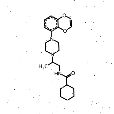 CC(CNC(=O)C1CCCCC1)N1CCN(c2cccc3c2OC=CO3)CC1